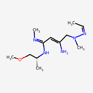 C/C=N\N(C)C/C(N)=C/C(=N\C)N[C@H](C)COC